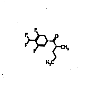 CCCC(C)C(=O)[C@@H]1C=C(F)C(C(F)F)=C(F)C1